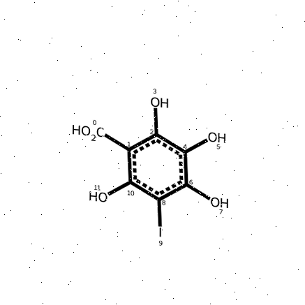 O=C(O)c1c(O)c(O)c(O)c(I)c1O